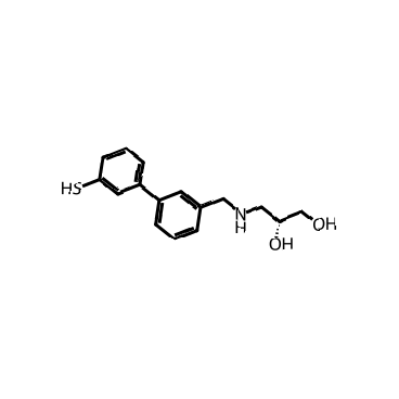 OC[C@H](O)CNCc1cccc(-c2cccc(S)c2)c1